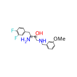 COc1cccc(CNC[C@@H](O)[C@@H](N)Cc2ccc(F)c(F)c2)c1